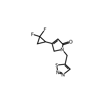 O=C1C=C(C2CC2(F)F)CN1Cc1cnns1